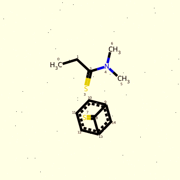 CCC(=S)N(C)C.S=C1c2cccc1c2